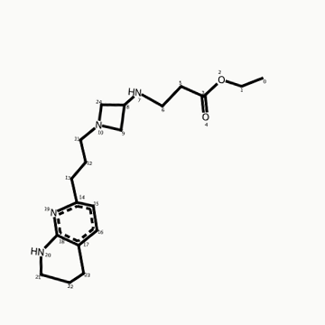 CCOC(=O)CCNC1CN(CCCc2ccc3c(n2)NCCC3)C1